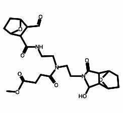 COC(=O)CCC(=O)N(CCNC(=O)C1C2CCC(O2)C1C=O)CCN1C(=O)C2C3CCC(O3)C2C1O